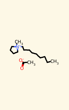 CC(=O)[O-].CCCCCCCCC[N+]1(C)CCCC1